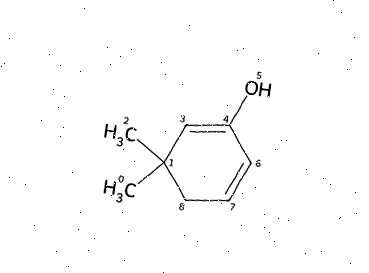 CC1(C)C=C(O)C=CC1